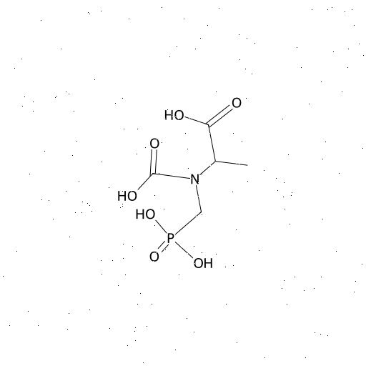 CC(C(=O)O)N(CP(=O)(O)O)C(=O)O